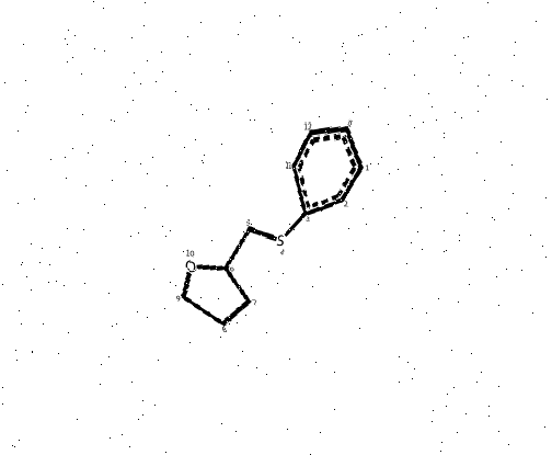 c1ccc(SCC2CCCO2)cc1